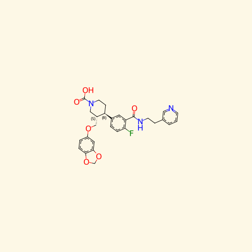 O=C(NCCc1cccnc1)c1cc([C@@H]2CCN(C(=O)O)C[C@H]2COc2ccc3c(c2)OCO3)ccc1F